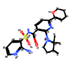 CC1CCN(c2nc(C3=CCCCO3)ccc2C(=O)NS(=O)(=O)c2cccnc2N)C1(C)C